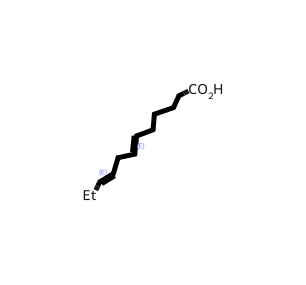 CC/C=C/C/C=C/CCCCC(=O)O